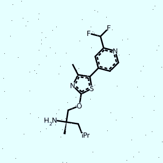 Cc1nc(OC[C@@](C)(N)CC(C)C)sc1-c1ccnc(C(F)F)c1